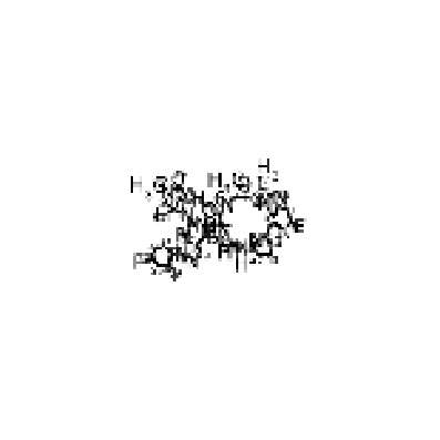 CO[C@H]1CN(C)C(=O)[C@@H]2C[C@@H](CN2c2nc(N3[C@H]4CC(=O)N(C)C[C@@H]3C4)nc3c2cnn3-c2ccc(F)cc2F)Nc2cccc(n2)-c2cc(F)cc3nc(C)n(c23)C1